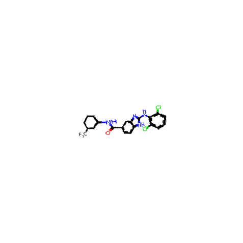 O=C(NC1CCCC(C(F)(F)F)C1)c1ccc2[nH]c(Nc3c(Cl)cccc3Cl)nc2c1